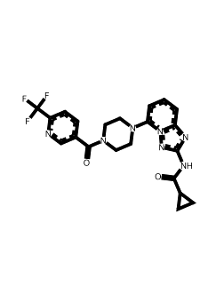 O=C(Nc1nc2cccc(N3CCN(C(=O)c4ccc(C(F)(F)F)nc4)CC3)n2n1)C1CC1